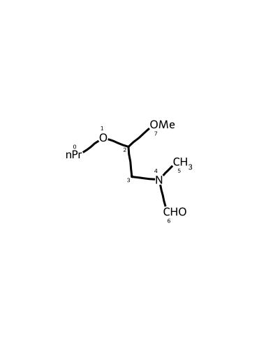 CCCOC(CN(C)C=O)OC